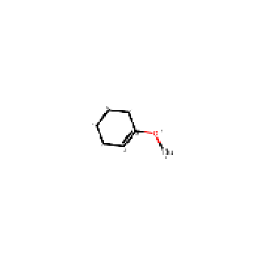 CCC(C)OC1=CCCCC1